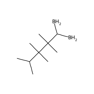 BC(B)C(C)(C)C(C)(C)C(C)C